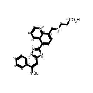 CCCCC(=Cc1nnc(-c2ccc(CNCCC(=O)O)c3ncccc23)o1)c1ccccc1